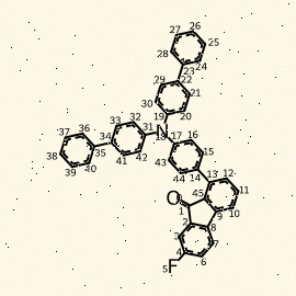 O=C1c2cc(F)ccc2-c2cccc(-c3ccc(N(c4ccc(-c5ccccc5)cc4)c4ccc(-c5ccccc5)cc4)cc3)c21